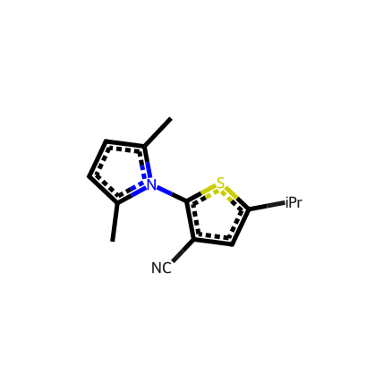 Cc1ccc(C)n1-c1sc(C(C)C)cc1C#N